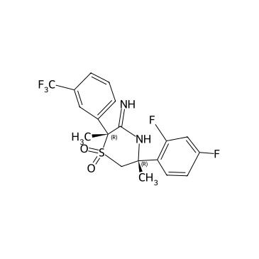 C[C@@]1(c2cccc(C(F)(F)F)c2)C(=N)N[C@](C)(c2ccc(F)cc2F)CS1(=O)=O